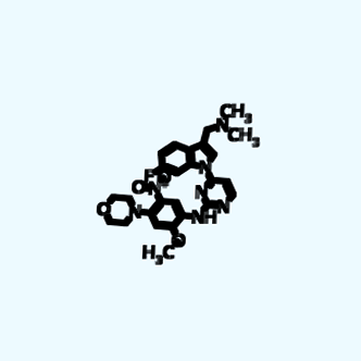 COc1cc(N2CCOCC2)c([N+](=O)[O-])cc1Nc1nccc(-n2cc(CN(C)C)c3ccc(F)cc32)n1